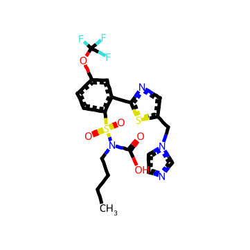 CCCCN(C(=O)O)S(=O)(=O)c1ccc(OC(F)(F)F)cc1-c1ncc(Cn2ccnc2)s1